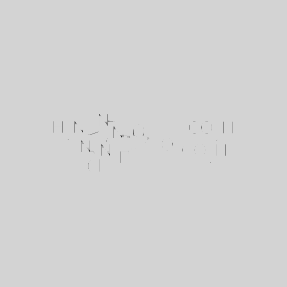 Nc1nc(Cl)nc2c1ncn2[C@@H]1O[C@H](COC(CC(=O)O)C(=O)O)C[C@@H]1F